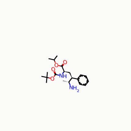 CC(C)OC(=O)[C@@H](C[C@@H](c1ccccc1)[C@@H](C)N)NC(=O)OC(C)(C)C